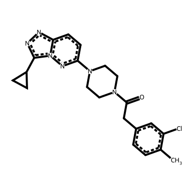 Cc1ccc(CC(=O)N2CCN(c3ccc4nnc(C5CC5)n4n3)CC2)cc1Cl